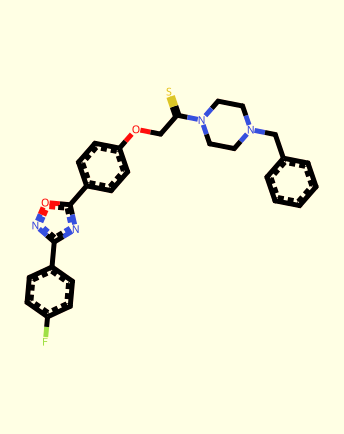 Fc1ccc(-c2noc(-c3ccc(OCC(=S)N4CCN(Cc5ccccc5)CC4)cc3)n2)cc1